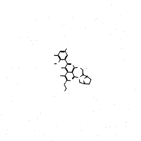 Cc1c(CCN)nc2c3c(nc(-c4cc(N)cc(F)c4OC(F)(F)F)c(F)c13)O[C@@H](C)[C@@H]1[C@@H]3CC[C@H](CN21)N3